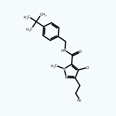 Cn1nc(CC[18F])c(Cl)c1C(=O)NCc1ccc(C(C)(C)C)cc1